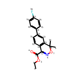 CCOC(=O)C1=NOC(C)(C)c2cc(-c3ccc(F)cc3)ccc21